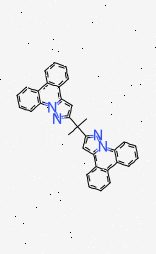 CC(C)(c1cc2c3ccccc3c3ccccc3n2n1)c1cc2c3ccccc3c3ccccc3n2n1